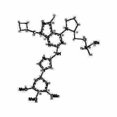 COc1cc(-n2cnc(Nc3nc(N4CCCC4CO[Si](C)(C)C(C)(C)C)c4c(C)nn(CC5CCC5)c4n3)c2)cc(OC)c1OC